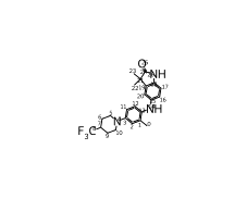 Cc1cc(N2CCC(C(F)(F)F)CC2)ccc1Nc1ccc2c(c1)C(C)(C)C(=O)N2